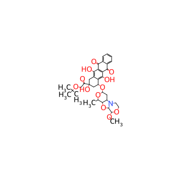 COC1OCCN2C3CC(OC4CC(O)(C(=O)COC(C)(C)C)Cc5c(O)c6c(c(O)c54)C(=O)c4ccccc4C6=O)OC(C)C3OC12